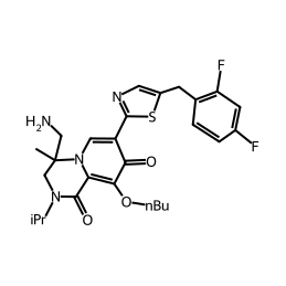 CCCCOc1c2n(cc(-c3ncc(Cc4ccc(F)cc4F)s3)c1=O)C(C)(CN)CN(C(C)C)C2=O